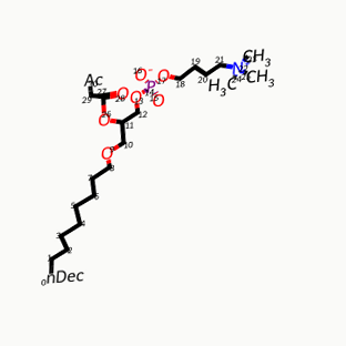 CCCCCCCCCCCCCCCCCCOCC(COP(=O)([O-])OCCCC[N+](C)(C)C)OC(=O)CC(C)=O